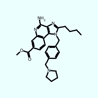 CCCCc1nc2c(N)nc3cc(C(=O)OC)ccc3c2n1Cc1ccc(CN2CCCC2)cc1